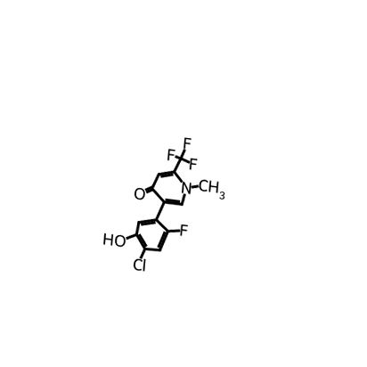 Cn1cc(-c2cc(O)c(Cl)cc2F)c(=O)cc1C(F)(F)F